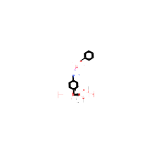 CC(C)(O)C(C)(O)c1ccc(CNC(=O)OCc2ccccc2)cc1